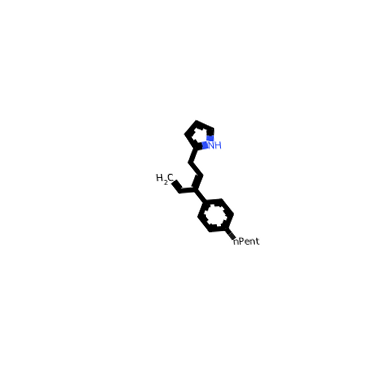 C=C/C(=C\Cc1ccc[nH]1)c1ccc(CCCCC)cc1